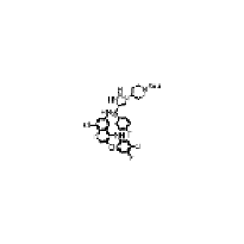 CC(C)(C)N1CCC(N2C=C([C@@H](Nc3cc(Cl)c4ncc(C#N)c(Nc5ccc(F)c(Cl)c5)c4c3)c3ccc(F)cc3)NN2)CC1